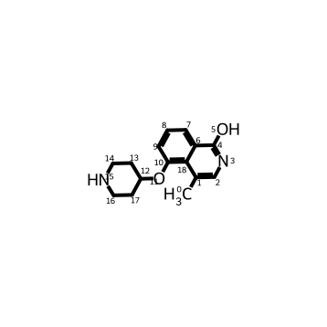 Cc1cnc(O)c2cccc(OC3CCNCC3)c12